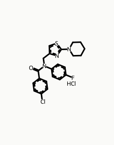 Cl.O=C(c1ccc(Cl)cc1)N(Cc1csc(N2CCCCC2)n1)c1ccc(F)cc1